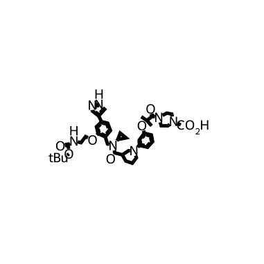 CC(C)(C)OC(=O)NCCOc1cc(-c2cn[nH]c2)ccc1CN(C(=O)C1CCCN(c2cccc(OC(C)(C)C(=O)N3CCN(C(=O)O)CC3)c2)C1)C1CC1